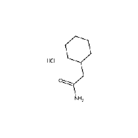 Cl.NC(=O)CC1CCCCC1